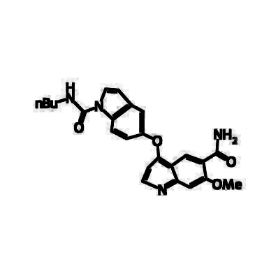 CCCCNC(=O)n1ccc2cc(Oc3ccnc4cc(OC)c(C(N)=O)cc34)ccc21